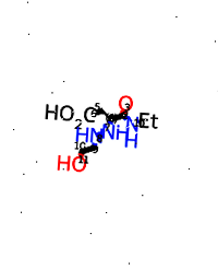 CCNC(=O)[C@H](CC(=O)O)NNCCO